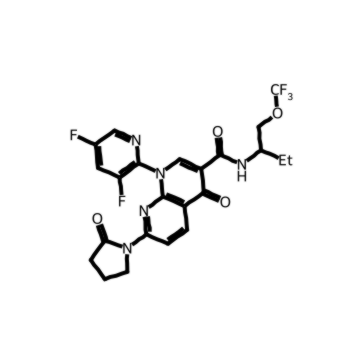 CCC(COC(F)(F)F)NC(=O)c1cn(-c2ncc(F)cc2F)c2nc(N3CCCC3=O)ccc2c1=O